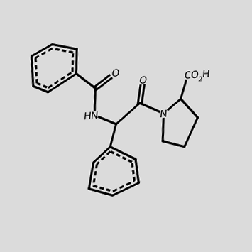 O=C(NC(C(=O)N1CCCC1C(=O)O)c1ccccc1)c1ccccc1